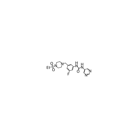 CCS(=O)(=O)N1CCN(Cc2cc(F)cc(NC(=O)Nc3cncnc3)c2)CC1